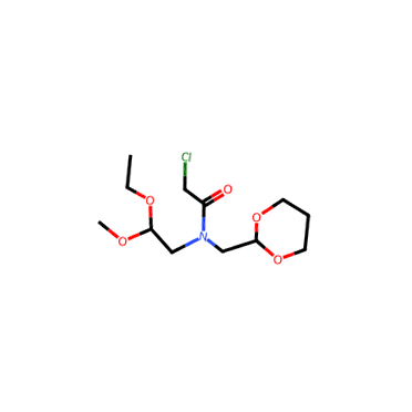 CCOC(CN(CC1OCCCO1)C(=O)CCl)OC